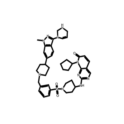 Cn1nc(N2C=CCNC2)c2ccc(C3CCN(Cc4cccc(S(=O)(=O)N5CCC(Nc6ncc7ccc(=O)n(C8CCCC8)c7n6)CC5)c4)CC3)cc21